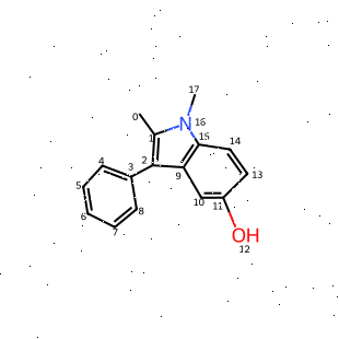 Cc1c(-c2ccccc2)c2cc(O)ccc2n1C